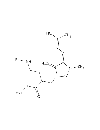 C=c1c(CN(CCNCC)C(=O)OC(C)(C)C)cn(C)/c1=C/C=C(\C)C#N